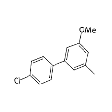 COc1cc(C)cc(-c2ccc(Cl)cc2)c1